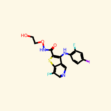 O=C(NOCCO)c1sc2c(F)cncc2c1Nc1ccc(I)cc1F